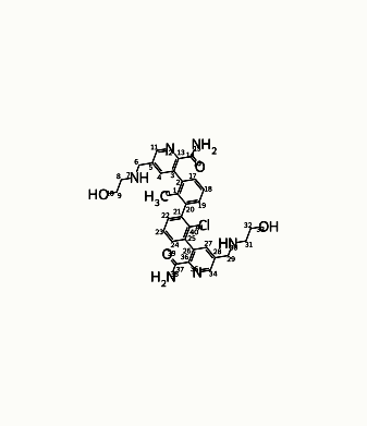 Cc1c(-c2cc(CNCCO)cnc2C(N)=O)cccc1-c1cccc(-c2cc(CNCCO)cnc2C(N)=O)c1Cl